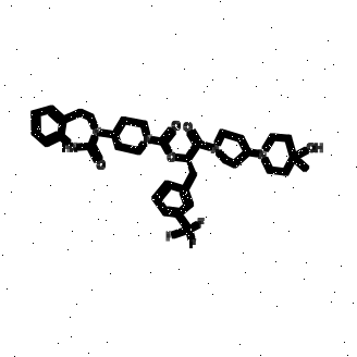 CC1(O)CCN(C2CCN(C(=O)[C@@H](Cc3cccc(C(F)(F)F)c3)OC(=O)N3CCC(N4CCc5ccccc5NC4=O)CC3)CC2)CC1